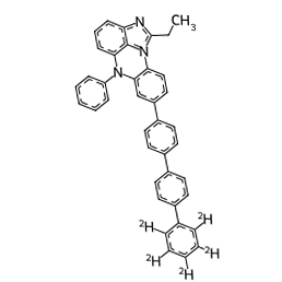 [2H]c1c([2H])c([2H])c(-c2ccc(-c3ccc(-c4ccc5c(c4)N(c4ccccc4)c4cccc6nc(CC)n-5c46)cc3)cc2)c([2H])c1[2H]